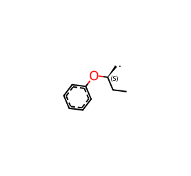 [CH2][C@@H](CC)Oc1ccccc1